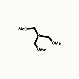 COCN(COC)COC